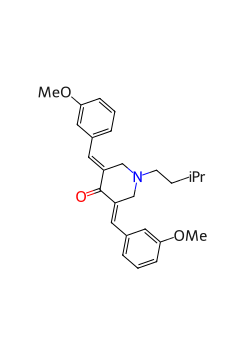 COc1cccc(C=C2CN(CCC(C)C)CC(=Cc3cccc(OC)c3)C2=O)c1